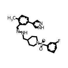 Cc1ccc(-c2cn[nH]c2)cc1/C=N\NCC1CCN(S(=O)(=O)c2cccc(F)c2)CC1